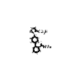 CNC(=O)c1ccccc1-c1ccc(-n2nncc2C(=O)O)cc1